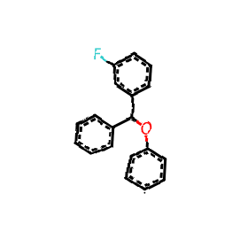 Fc1cccc(C(Oc2cc[c]cc2)c2ccccc2)c1